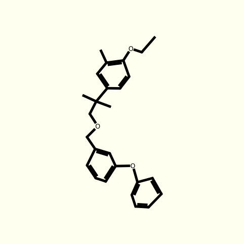 CCOc1ccc(C(C)(C)COCc2cccc(Oc3ccccc3)c2)cc1C